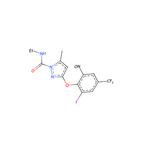 CCNC(=O)n1nc(Oc2c(I)cc(C(F)(F)F)cc2N=O)cc1C